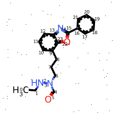 CCNN(C=O)CCCc1cccc2nc(-c3ccccc3)oc12